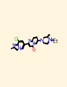 CCN1CCN(c2ccc3nc(-c4cc(Cl)c5nc(C)cn5c4)cc(=O)n3c2)CC1C